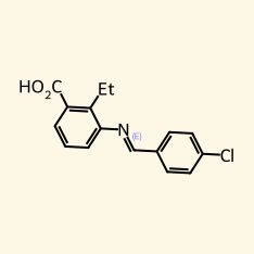 CCc1c(/N=C/c2ccc(Cl)cc2)cccc1C(=O)O